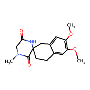 COc1cc2c(cc1OC)CC1(CC2)NC(=O)CN(C)C1=O